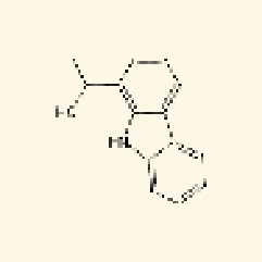 CC(O)c1cccc2c1[nH]c1ccccc12